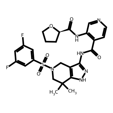 CC1(C)CN(S(=O)(=O)c2cc(F)cc(F)c2)Cc2c(NC(=O)c3ccncc3NC(=O)[C@H]3CCCO3)n[nH]c21